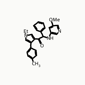 CCn1cc(C(=O)C(Nc2cncc(OC)c2)c2ccccc2)c(-c2ccc(C)cc2)c1